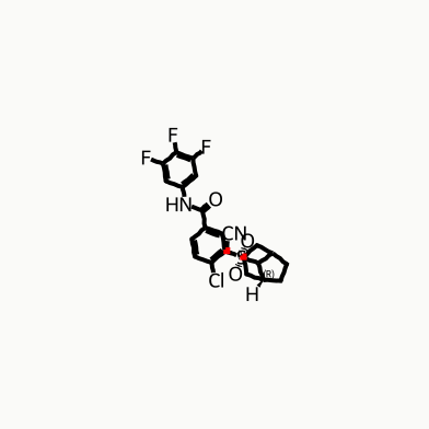 N#CC[C@@H]1CC2CC[C@H](C1)C2S(=O)(=O)c1cc(C(=O)Nc2cc(F)c(F)c(F)c2)ccc1Cl